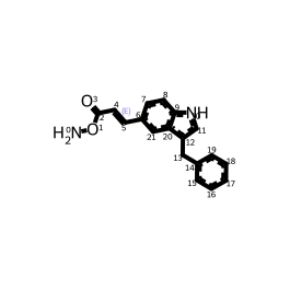 NOC(=O)/C=C/c1ccc2[nH]cc(Cc3ccccc3)c2c1